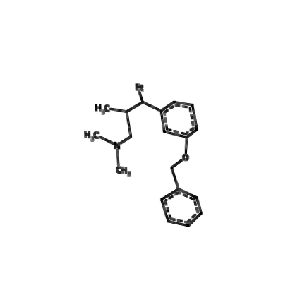 CCC(c1cccc(OCc2ccccc2)c1)C(C)CN(C)C